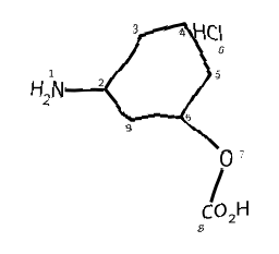 Cl.NC1CCCC(OC(=O)O)C1